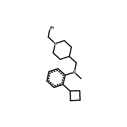 CC(C)CN1CCC(CN(C)c2cc[c]cc2C2CCC2)CC1